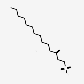 CCCCCCCCCCCC(=O)CCS(=O)(=O)O.[NaH]